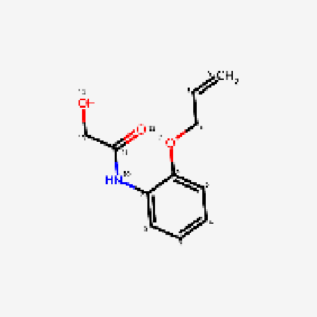 C=CCOc1ccccc1NC(=O)CO